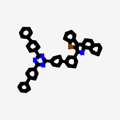 c1ccc(-c2ccc(-c3nc(-c4ccc(-c5ccccc5)cc4)nc(-c4ccc(-c5cccc(-c6nc7c8ccccc8ccc7c7c6sc6ccccc67)c5)cc4)n3)cc2)cc1